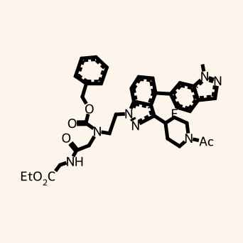 CCOC(=O)CNC(=O)CN(CCn1nc(C2CCN(C(C)=O)CC2)c2c(-c3cc4c(cnn4C)cc3F)cccc21)C(=O)OCc1ccccc1